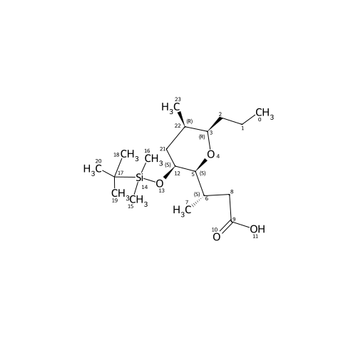 CCC[C@H]1O[C@@H]([C@@H](C)CC(=O)O)[C@@H](O[Si](C)(C)C(C)(C)C)C[C@H]1C